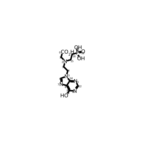 O=C(O)CN(CCn1cnc2c(O)ncnc21)CCP(=O)(O)O